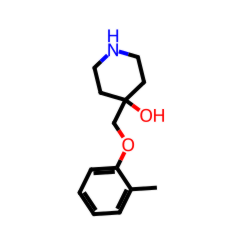 Cc1ccccc1OCC1(O)CCNCC1